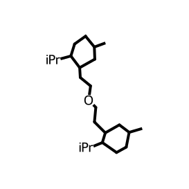 CC1CCC(C(C)C)C(CCOCCC2CC(C)CCC2C(C)C)C1